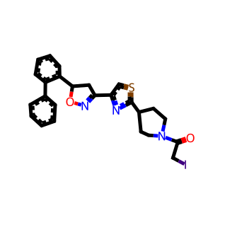 O=C(CI)N1CCC(c2nc(C3=NOC(c4ccccc4-c4ccccc4)C3)cs2)CC1